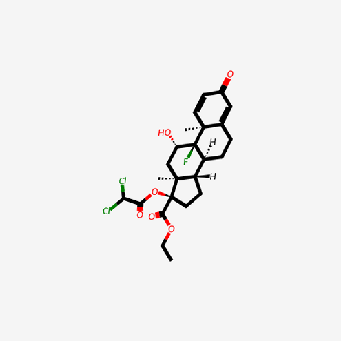 CCOC(=O)[C@@]1(OC(=O)C(Cl)Cl)CC[C@H]2[C@@H]3CCC4=CC(=O)C=C[C@]4(C)[C@@]3(F)[C@@H](O)C[C@@]21C